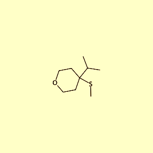 CSC1(C(C)C)CCOCC1